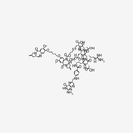 C=C1CC2C=Nc3cc(OCCCCCOc4cc5c(cc4OC)C(=O)N4CC(=C)C[C@H]4[C@H](O)N5C(=O)OCCSSC[C@H](NC(=O)[C@H](CC(=O)O)NC(=O)[C@H](CC(=O)O)NC(=O)[C@H](CCCNC(=N)N)NC(=O)[C@H](CC(=O)O)NC(=O)CC[C@@H](C)NC(=O)c4ccc(NCc5cnc6nc(N)[nH]c(=O)c6n5)cc4)C(=O)O)c(OC)cc3C(=O)N2C1